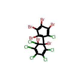 ClC1=C(Cl)C(Cl)(Br)C(Br)(c2c(Cl)c(Br)c(Br)c(Br)c2Br)C(Cl)=C1Cl